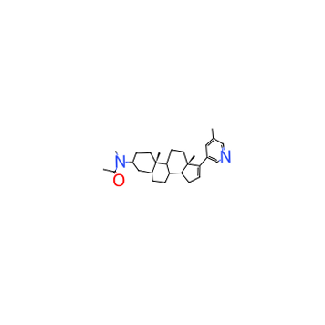 CC(=O)N(C)C1CC[C@@]2(C)C(CCC3C2CC[C@]2(C)C(c4cncc(C)c4)=CCC32)C1